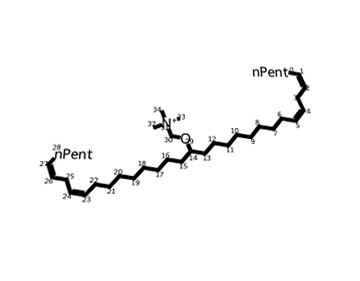 CCCCC/C=C\C/C=C\CCCCCCCCC(CCCCCCCC/C=C\C/C=C\CCCCC)OC[N+](C)(C)C